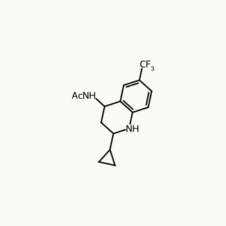 CC(=O)NC1CC(C2CC2)Nc2ccc(C(F)(F)F)cc21